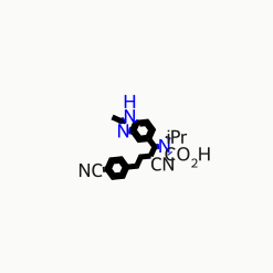 Cc1nc2cc(C(C(C#N)CCc3ccc(C#N)cc3)N(C(=O)O)C(C)C)ccc2[nH]1